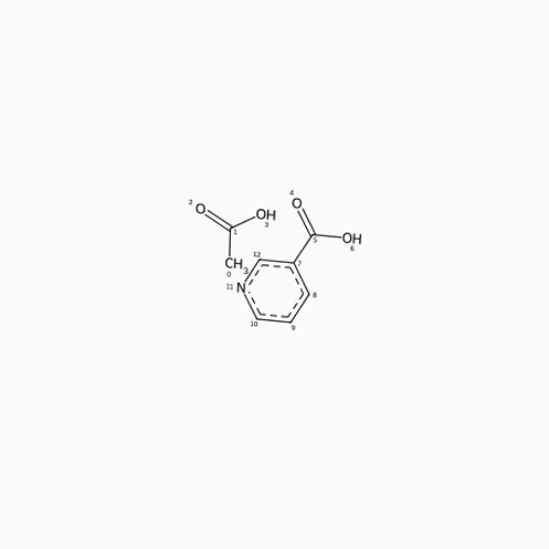 CC(=O)O.O=C(O)c1cccnc1